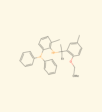 CCC(C)(Pc1c(C)cccc1P(c1ccccc1)c1ccccc1)c1cc(C)ccc1OCOC